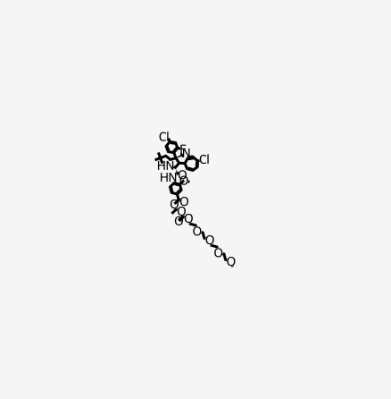 COCCOCCOCCOCCOC(=O)OC(C)OC(=O)c1ccc(NC(=O)[C@@H]2NC(CC(C)(C)C)[C@](C#N)(c3ccc(Cl)cc3F)C2C2C#CC(Cl)=CC=C2)c(OC)c1